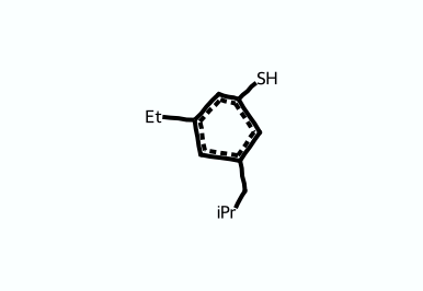 CCc1cc(S)cc(CC(C)C)c1